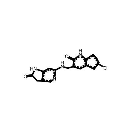 O=C1Cc2cnc(NCc3cc4cc(Cl)ccc4[nH]c3=O)cc2N1